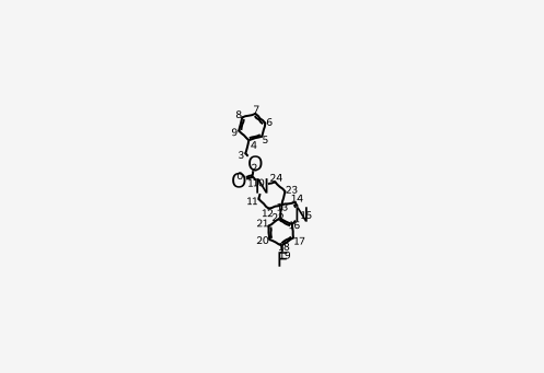 O=C(OCc1ccccc1)N1CCC2(C=Nc3cc(F)ccc32)CC1